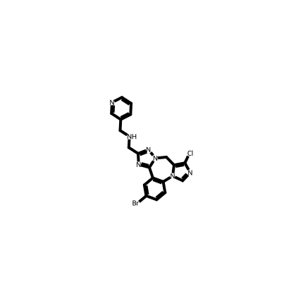 Clc1ncn2c1Cn1nc(CNCc3cccnc3)nc1-c1cc(Br)ccc1-2